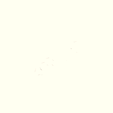 O=c1ccn([C@@H]2O[C@H](COP(=O)(O)OP(=O)(O)O)[C@H](O)C2O)c(=O)n1Cc1ncccn1